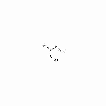 [CH2]CCC(OO)OO